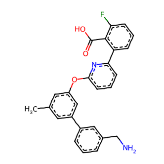 Cc1cc(Oc2cccc(-c3cccc(F)c3C(=O)O)n2)cc(-c2cccc(CN)c2)c1